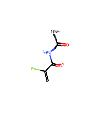 C=C(F)C(=O)NC(=O)NC